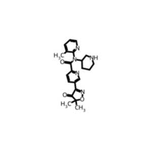 Cc1cccnc1N(C(=O)c1ccc(C2=NOC(C)(C)C2=O)cn1)C1CCCNC1